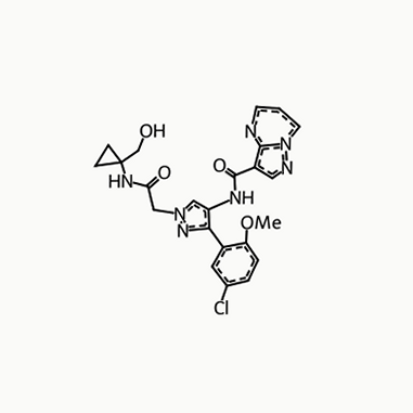 COc1ccc(Cl)cc1-c1nn(CC(=O)NC2(CO)CC2)cc1NC(=O)c1cnn2cccnc12